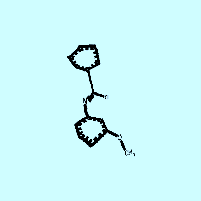 COc1cccc(N=C(Cl)c2ccccc2)c1